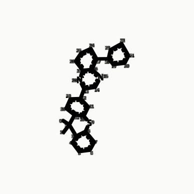 CC1(C)c2ccccc2Sc2cc(-c3cnc4c(-c5ccccc5)cccc4n3)ccc21